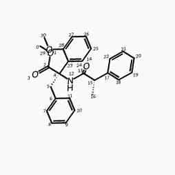 COC(=O)[C@](Cc1ccccc1)(NC(=O)[C@@H](C)c1ccccc1)c1ccccc1OC